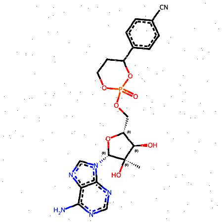 C[C@@]1(O)[C@H](O)[C@@H](COP2(=O)OCCC(c3ccc(C#N)cc3)O2)O[C@H]1n1cnc2c(N)ncnc21